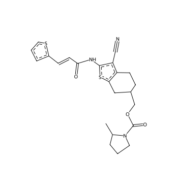 CC1CCCN1C(=O)OCC1CCc2c(sc(NC(=O)C=Cc3cccs3)c2C#N)C1